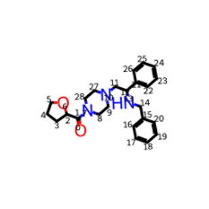 O=C(C1CCCO1)N1CCN(CC(NCc2ccccc2)c2ccccc2)CC1